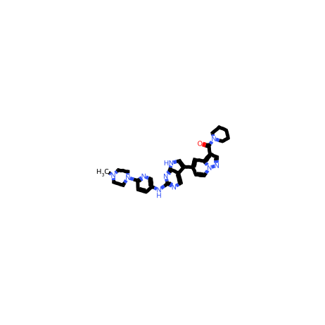 CN1CCN(c2ccc(Nc3ncc4c(-c5ccn6ncc(C(=O)N7CCCCC7)c6c5)c[nH]c4n3)cn2)CC1